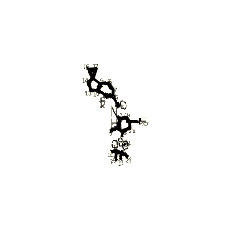 Cc1c(NC(=O)c2ccc3c(c2F)CCC32CC2)cc(F)cc1B1OC(C)(C)C(C)(C)O1